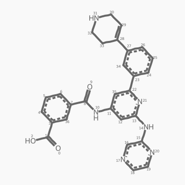 O=C(O)c1cccc(C(=O)Nc2cc(Nc3cnccn3)nc(-c3cccc(C4=CCNCC4)c3)c2)c1